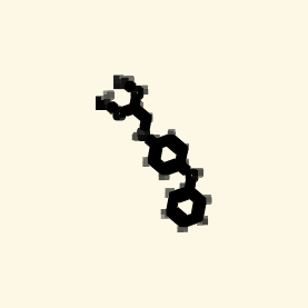 CCOC(COc1ccc(Oc2ccccc2)cc1)OCC